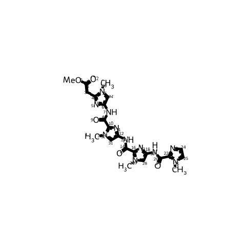 COC(=O)Cc1nc(NC(=O)c2nc(NC(=O)c3nc(NC(=O)c4nccn4C)cn3C)cn2C)cn1C